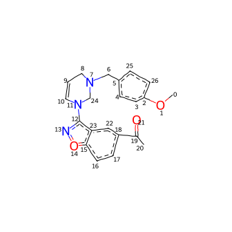 COc1ccc(CN2CC=CN(c3noc4ccc(C(C)=O)cc34)C2)cc1